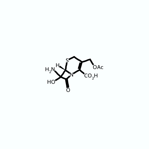 CC(=O)OCC1=C(C(=O)O)N2C(=O)C(N)(O)[C@@H]2SC1